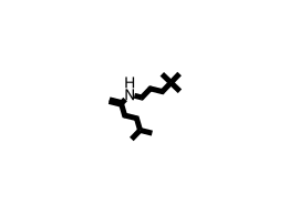 C=C(CCC(C)C)NCCCC(C)(C)C